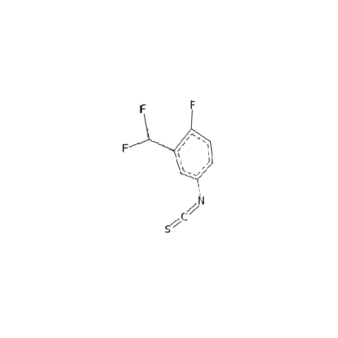 Fc1ccc(N=C=S)cc1C(F)F